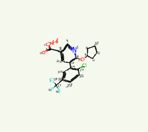 O=C(O)c1cnc(OC2CCCC2)c(-c2cc(C(F)(F)F)ccc2Cl)c1